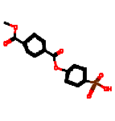 COC(=O)c1ccc(C(=O)Oc2ccc(S(=O)(=O)O)cc2)cc1